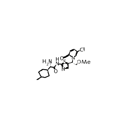 COC[C@H](c1cnc(NC(=O)[C@@H](N)C2CCC(C)CC2)s1)N1C=C(Cl)C=CC1=C=O